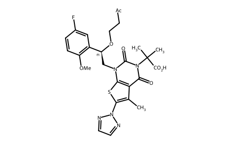 COc1ccc(F)cc1[C@H](Cn1c(=O)n(C(C)(C)C(=O)O)c(=O)c2c(C)c(-n3nccn3)sc21)OCCC(C)=O